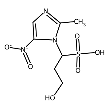 Cc1ncc([N+](=O)[O-])n1C(CCO)S(=O)(=O)O